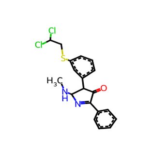 CNC1N=C(c2ccccc2)C(=O)C1c1cccc(SCC(Cl)Cl)c1